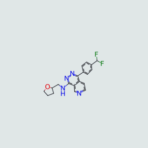 FC(F)c1ccc(-c2nnc(NCC3CCCO3)c3cnccc23)cc1